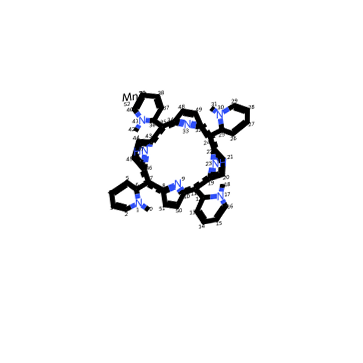 CN1C=CC=CC1c1c2nc(c(C3C=CC=CN3C)c3ccc([nH]3)c(C3C=CC=CN3C)c3nc(c(C4C=CC=CN4C)c4ccc1[nH]4)C=C3)C=C2.[Mn+3]